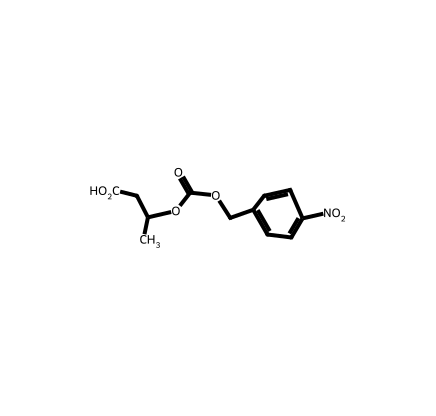 CC(CC(=O)O)OC(=O)OCc1ccc([N+](=O)[O-])cc1